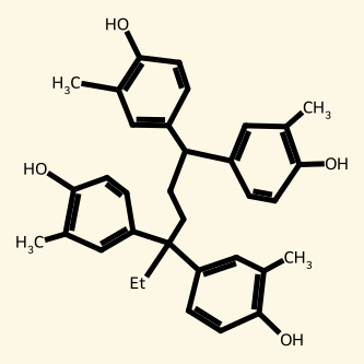 CCC(CCC(c1ccc(O)c(C)c1)c1ccc(O)c(C)c1)(c1ccc(O)c(C)c1)c1ccc(O)c(C)c1